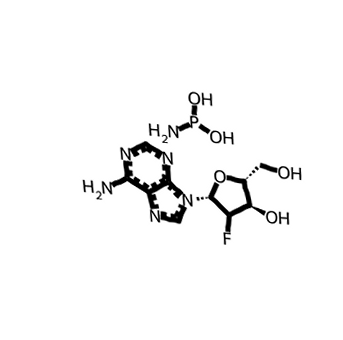 NP(O)O.Nc1ncnc2c1ncn2[C@@H]1O[C@H](CO)[C@@H](O)C1F